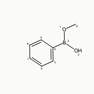 COB(O)c1ccccc1